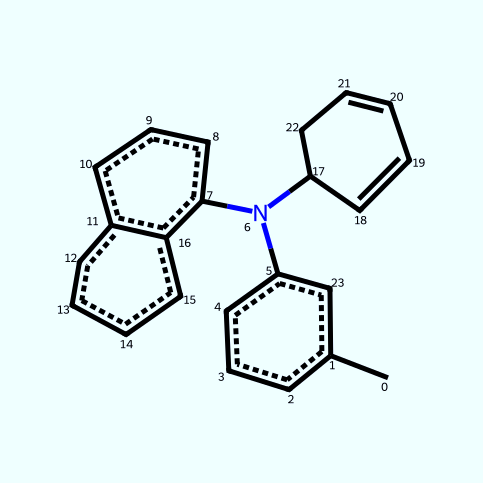 Cc1cccc(N(c2cccc3ccccc23)C2C=CC=CC2)c1